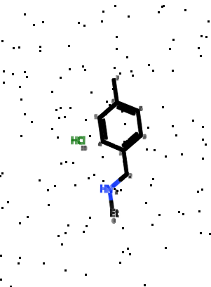 CCNCc1ccc(C)cc1.Cl